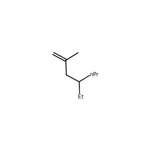 C=C(C)CC(CC)CCC